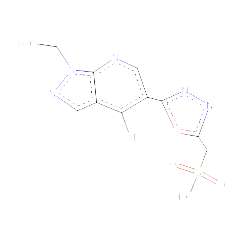 CCn1ncc2c(Cl)c(-c3nnc(CS(C)(=O)=O)o3)cnc21